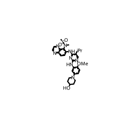 COc1ccc(N2CCC(O)CC2)cc1Nc1ncc(C(C)C)c(Nc2ccc3nccnc3c2N(C)S(C)(=O)=O)n1